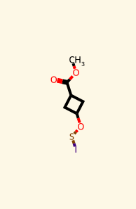 COC(=O)C1CC(OSI)C1